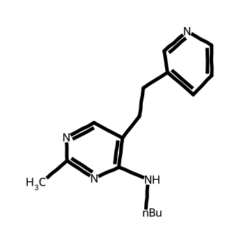 CCCCNc1nc(C)ncc1CCc1cccnc1